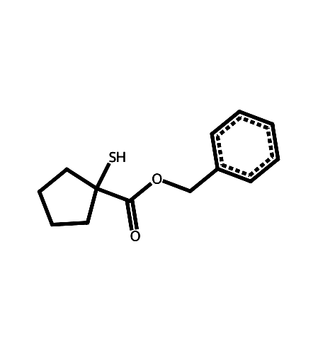 O=C(OCc1ccccc1)C1(S)CCCC1